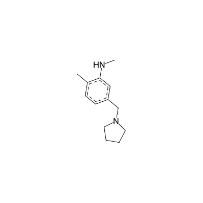 CNc1cc(CN2CCCC2)ccc1C